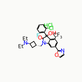 CCN(CC)[C@H]1C[C@H](CN2C(=O)[C@](O)(c3c(F)cccc3Cl)c3c2cc(-c2ncco2)cc3C(F)(F)F)C1.Cl